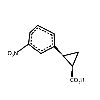 O=C(O)[C@@H]1C[C@@H]1c1cccc([N+](=O)[O-])c1